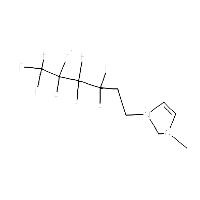 CN1C=CN(CCC(F)(F)C(F)(F)C(F)(F)C(F)(F)F)C1